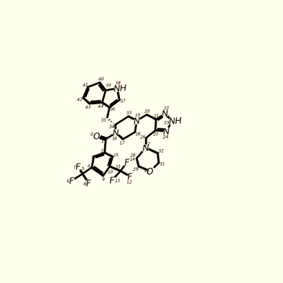 O=C(c1cc(C(F)(F)F)cc(C(F)(F)F)c1)N1CCN(Cc2n[nH]nc2CN2CCOCC2)C[C@H]1Cc1c[nH]c2ccccc12